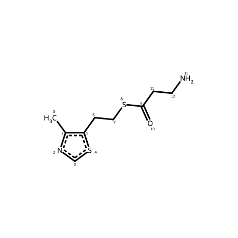 Cc1ncsc1CCSC(=O)CCN